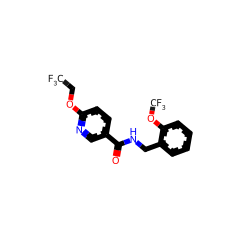 O=C(NCc1ccccc1OC(F)(F)F)c1ccc(OCC(F)(F)F)nc1